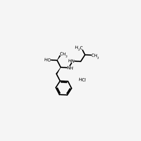 CC(C)CNN[C@@H](Cc1ccccc1)[C@H](C)O.Cl